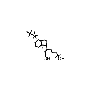 CC(C)(O)CCCC(CCO)C1CCC2[C@@H](O[Si](C)(C)C(C)(C)C)CCC[C@]12C